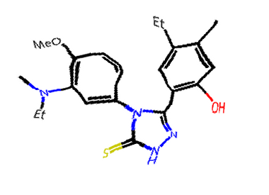 CCc1cc(-c2n[nH]c(=S)n2-c2ccc(OC)c(N(C)CC)c2)c(O)cc1C